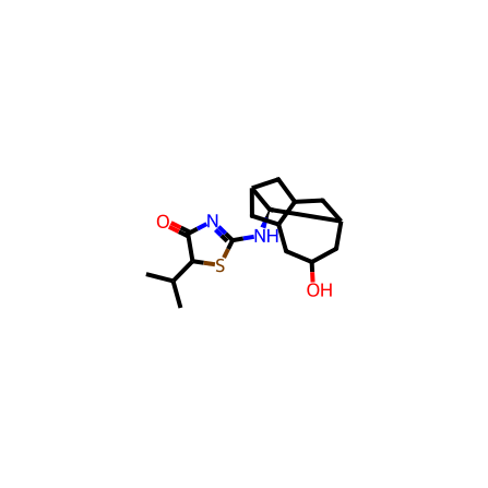 CC(C)C1SC(N[C@@H]2C3CC(O)CC4CC2CC4C3)=NC1=O